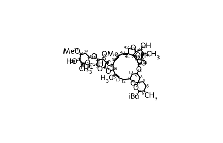 CC[C@H](C)C1OC2(CCC1C)CC1CC(CC=C(C)C(O[C@H]3C[C@H](OC)[C@@H](O[C@H]4C[C@H](OC)[C@@H](O)[C@H](C)O4)[C@H](C)O3)C(C)C=CC=C3COC4C(O)C(C)=CC(C(=O)O1)C34O)O2